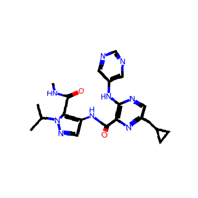 CNC(=O)c1c(NC(=O)c2nc(C3CC3)cnc2Nc2cncnc2)cnn1C(C)C